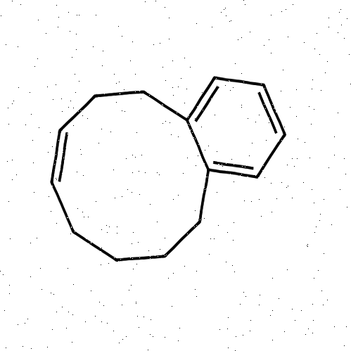 C1=CCCc2ccccc2CCCC1